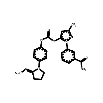 CON=C1CCCN1c1ccc(NC(=O)Oc2cc(C(F)(F)F)nn2-c2cccc(C(N)=O)c2)cc1